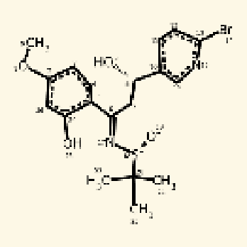 COc1ccc(/C(C[C@H](O)c2ccc(Br)nc2)=N/[S@@+]([O-])C(C)(C)C)c(O)c1